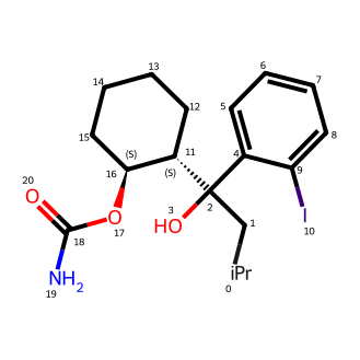 CC(C)CC(O)(c1ccccc1I)[C@H]1CCCC[C@@H]1OC(N)=O